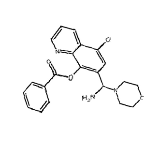 NC(c1cc(Cl)c2cccnc2c1OC(=O)c1ccccc1)N1CCOCC1